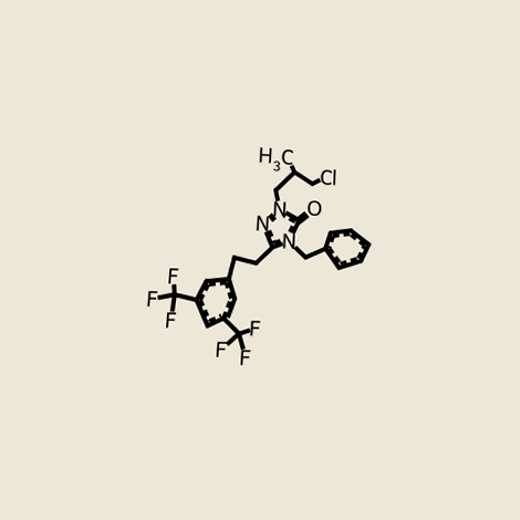 CC(CCl)Cn1nc(CCc2cc(C(F)(F)F)cc(C(F)(F)F)c2)n(Cc2ccccc2)c1=O